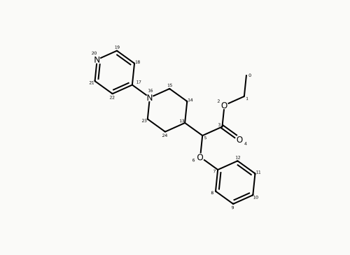 CCOC(=O)C(Oc1ccccc1)C1CCN(c2ccncc2)CC1